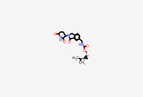 CC(C)[C@@H]1C[C@H]1COC(=O)NCc1ccc2c(c1)C(=O)N(C1CCC(=O)NC1=O)C2